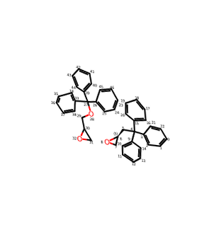 c1ccc(C(C[C@H]2CO2)(c2ccccc2)c2ccccc2)cc1.c1ccc(C(OCC2CO2)(c2ccccc2)c2ccccc2)cc1